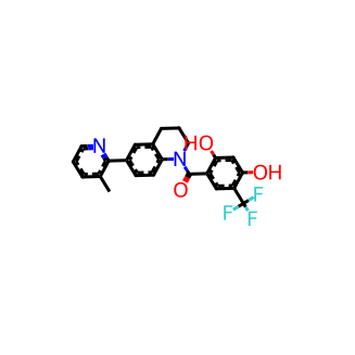 Cc1cccnc1-c1ccc2c(c1)CCCN2C(=O)c1cc(C(F)(F)F)c(O)cc1O